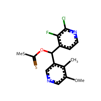 COc1cncc(C(OC(=S)SC)c2ccnc(Cl)c2F)c1C